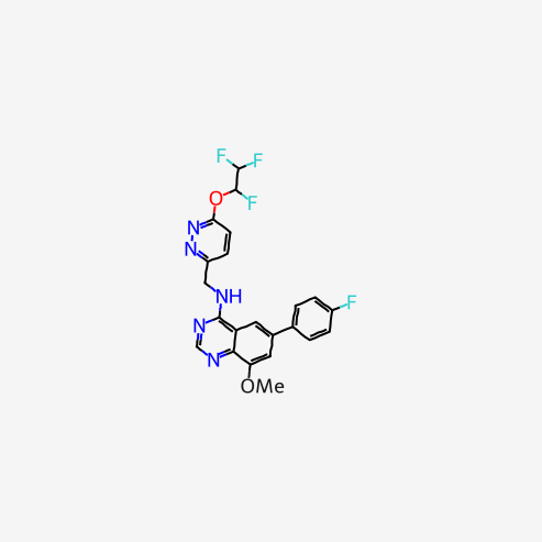 COc1cc(-c2ccc(F)cc2)cc2c(NCc3ccc(OC(F)C(F)F)nn3)ncnc12